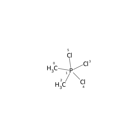 CP(C)(Cl)(Cl)Cl